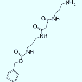 NCCCNC(=O)CC(=O)NCCCNC(=O)OCc1ccccc1